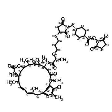 C/C1=C\C=C\[C@@H](C)[C@@]2(O)CC(OC(=O)N2)[C@@H](C)[C@@H]2O[C@@]2(C)[C@@H](OC(=O)[C@H](C)OCCCSC2CC(=O)N(C[C@H]3CC[C@H](C(=O)ON4C(=O)CCC4=O)CC3)C2=O)CC(=O)N(C)c2cc(cc(C)c2Cl)C1